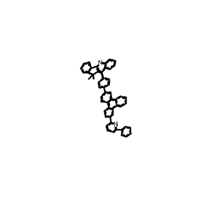 CC1(C)c2ccccc2-c2nc3ccccc3c(-c3ccc(-c4ccc5c6ccc(-c7cccc(-c8ccccc8)n7)cc6c6ccccc6c5c4)cc3)c21